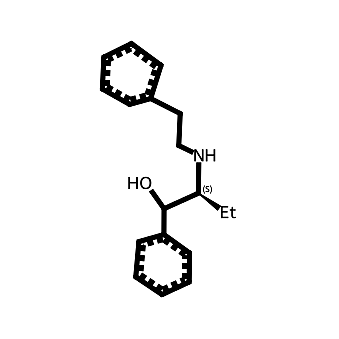 CC[C@H](NCCc1ccccc1)C(O)c1ccccc1